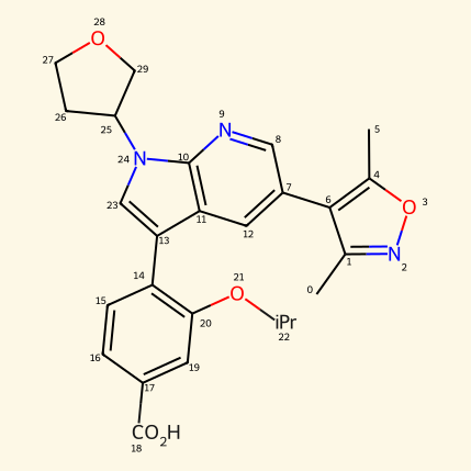 Cc1noc(C)c1-c1cnc2c(c1)c(-c1ccc(C(=O)O)cc1OC(C)C)cn2C1CCOC1